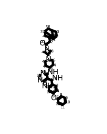 N=C(c1ccc(Oc2ccccc2)cc1)c1c(N)ncnc1NC1CCN(C2CN(C(=O)CC34CC5CC(CC(C5)C3)C4)C2)CC1